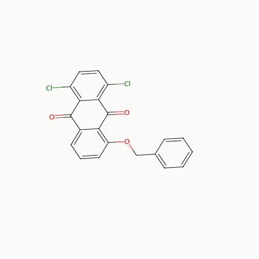 O=C1c2cccc(OCc3ccccc3)c2C(=O)c2c(Cl)ccc(Cl)c21